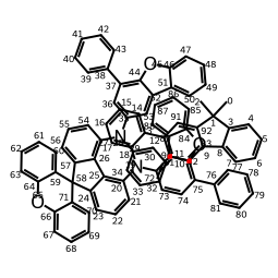 CC1(C)c2ccccc2-c2ccc(-c3ccccc3N(c3cccc4c3-c3c(N(c5ccccc5)c5cc(-c6ccccc6)c6oc7ccccc7c6c5)cccc3C43c4ccccc4Oc4ccccc43)c3ccc(-c4ccccc4)c4oc5ccccc5c34)cc21